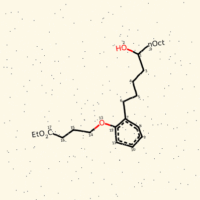 CCCCCCCCC(O)CCCCc1ccccc1OCCCC(=O)OCC